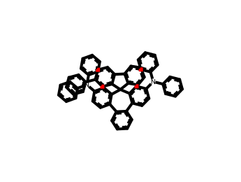 c1ccc(-c2ccc3c(c2)C2(c4cc(N(c5ccccc5)c5ccccc5)ccc4-c4ccccc4-c4ccc(N(c5ccccc5)c5ccccc5)cc42)c2ccccc2-3)cc1